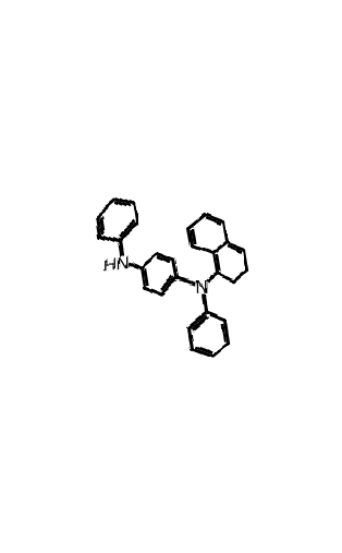 C1=c2ccccc2=C(N(c2ccccc2)c2ccc(Nc3ccccc3)cc2)CC1